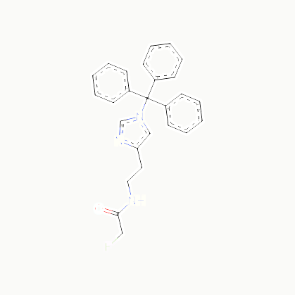 O=C(CF)NCCc1cn(C(c2ccccc2)(c2ccccc2)c2ccccc2)cn1